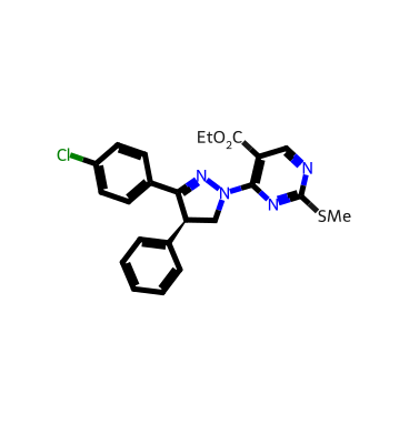 CCOC(=O)c1cnc(SC)nc1N1C[C@@H](c2ccccc2)C(c2ccc(Cl)cc2)=N1